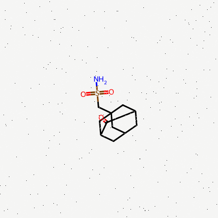 NS(=O)(=O)CC12CC3CC(C1)C(=O)C(C3)C2